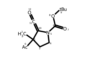 CC(=O)C1(C)CCN(C(=O)OC(C)(C)C)C1=C=O